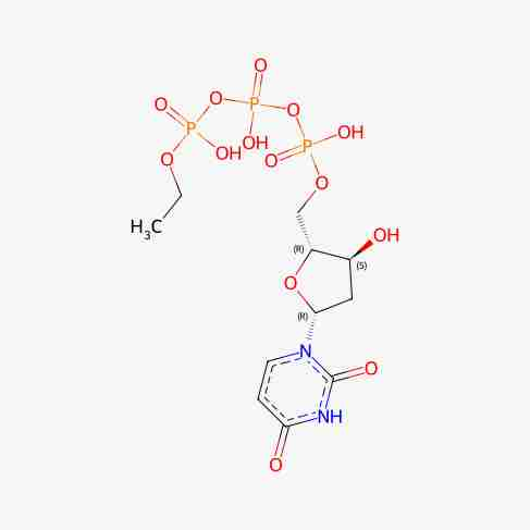 CCOP(=O)(O)OP(=O)(O)OP(=O)(O)OC[C@H]1O[C@@H](n2ccc(=O)[nH]c2=O)C[C@@H]1O